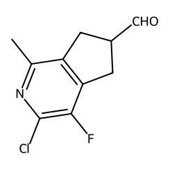 Cc1nc(Cl)c(F)c2c1CC(C=O)C2